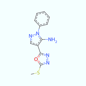 CSc1nnc(-c2cnn(-c3ccccc3)c2N)o1